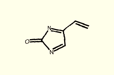 C=CC1=NC(=O)N=C1